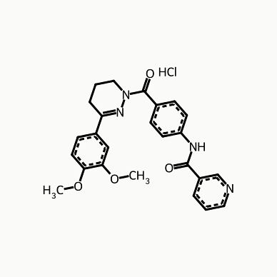 COc1ccc(C2=NN(C(=O)c3ccc(NC(=O)c4cccnc4)cc3)CCC2)cc1OC.Cl